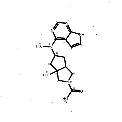 CN(c1ncnc2[nH]ccc12)C1CC2CN(C(=O)O)CC2(C)C1